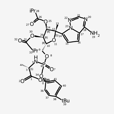 CC(C)COC(=O)[C@H](C)NP(=O)(OC[C@H]1O[C@@](C)(c2ccc3c(N)ncnn23)[C@H](OC(=O)C(C)C)[C@@H]1OC(=O)C(C)C)Oc1ccc(C(C)(C)C)cc1